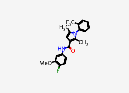 COc1cc(NC(=O)c2cc(C)n(-c3ccccc3C(F)(F)F)c2C)ccc1F